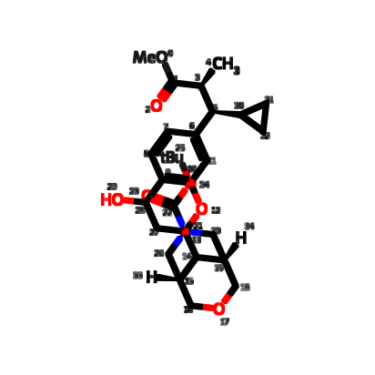 COC(=O)[C@@H](C)[C@H](c1ccc2c(c1)OC(C1[C@@H]3COC[C@H]1CN(C(=O)OC(C)(C)C)C3)CC2O)C1CC1